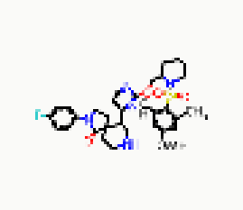 COc1cc(C)c(S(=O)(=O)N2CCCCC2COc2nccc(C3CNCCC34CCN(c3ccc(F)cc3)C4=O)n2)c(C)c1